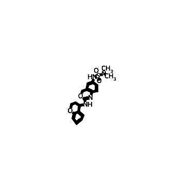 CN(C)S(=O)(=O)Nc1ccc2c(c1)COC(NC1CCOc3ccccc31)=N2